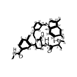 CNC(=O)c1ccc(C)c(-c2cnc(NC(=O)C(C)NC)c(=O)n2Cc2cccc(-n3cc(C)c4cc(F)ccc43)c2)c1